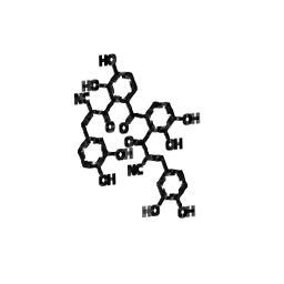 N#CC(=Cc1ccc(O)c(O)c1)C(=O)c1c(C(=O)c2ccc(O)c(O)c2C(=O)C(C#N)=Cc2ccc(O)c(O)c2)ccc(O)c1O